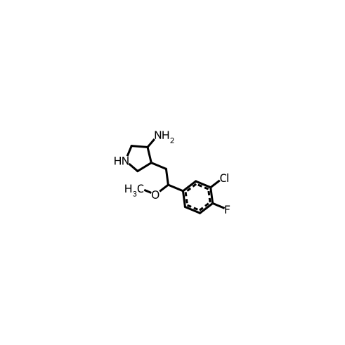 COC(CC1CNCC1N)c1ccc(F)c(Cl)c1